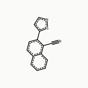 N#Cc1c(-c2ccns2)ccc2ccccc12